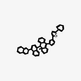 CC12C=CC=CC1=C(c1cccc(-c3ccc(-c4ccccc4)s3)c1)c1ccccc1C2c1ccc(C2C=c3ccccc3=CC2)c2ccccc12